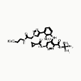 BC(B)(B)NC(=O)c1nnc(NC(=O)C2CC2)cc1Nc1cccc(-c2cn(CC(=O)NCCOC)nn2)c1OC